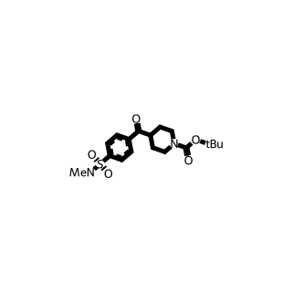 CNS(=O)(=O)c1ccc(C(=O)C2CCN(C(=O)OC(C)(C)C)CC2)cc1